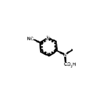 CN(C(=O)O)c1ccc(C#N)nc1